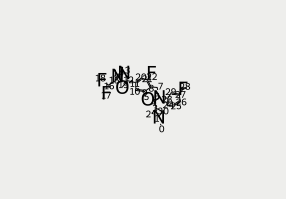 CN1CC(C(=O)N(Cc2ccc(-c3nnc(C(F)F)o3)cc2F)c2cccc(F)c2)C1